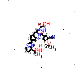 CC(C)Oc1ccc(C(=O)NC(CNC(=O)CO)Cc2ccc(-c3cn4cccc(C(C)O)c4n3)cc2)cc1C#N